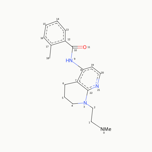 CNCCN1CCCc2c(NC(=O)c3ccccc3C)ccnc21